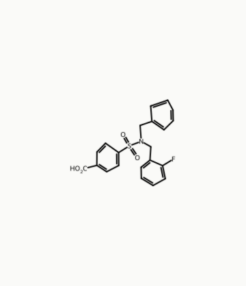 O=C(O)c1ccc(S(=O)(=O)N(Cc2ccccc2)Cc2ccccc2F)cc1